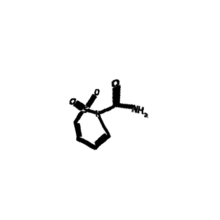 NC(=O)N1C=CC=CS1(=O)=O